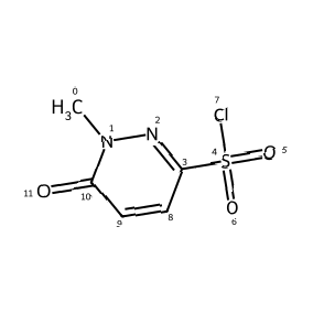 Cn1nc(S(=O)(=O)Cl)ccc1=O